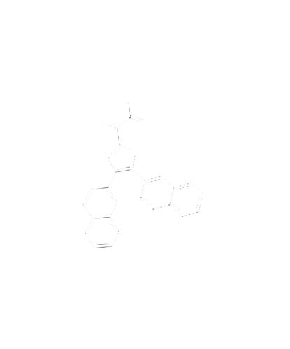 O=C(O)C(S)c1nc(-c2ccc3ccccc3c2)c(-c2ccc3ccccc3c2)o1